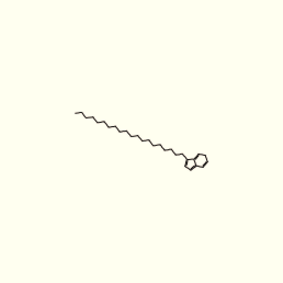 CCCCCCCCCCCCCCCCCCCCC1=CC=C2C=CCC=C21